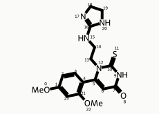 COc1ccc(-c2cc(=O)[nH]c(=S)n2CCNC2=NCCN2)c(OC)c1